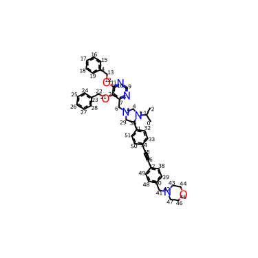 CC(C)N1CN(Cc2ncnc(OCc3ccccc3)c2OCc2ccccc2)CC1c1ccc(C#Cc2ccc(CN3CCOCC3)cc2)cc1